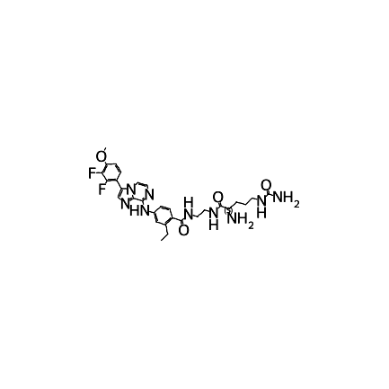 CCc1cc(Nc2nccn3c(-c4ccc(OC)c(F)c4F)cnc23)ccc1C(=O)NCCNC(=O)[C@@H](N)CCCNC(N)=O